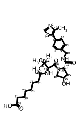 Cc1ncsc1-c1ccc(CNC(=O)[C@@H]2C[C@@H](O)CN2C(=O)C(NC(=O)CCCCCCC(=O)O)C(C)(C)C)cc1